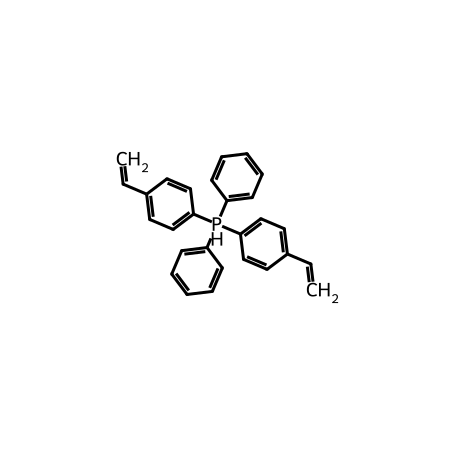 C=Cc1ccc([PH](c2ccccc2)(c2ccccc2)c2ccc(C=C)cc2)cc1